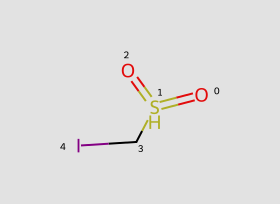 O=[SH](=O)CI